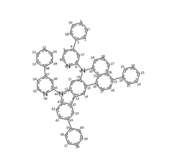 c1ccc(-c2ccnc(N3c4cc5c(cc4-c4ccc(-c6ccccc6)c6cccc3c46)c3cc(-c4ccccc4)ccc3n5-c3cc(-c4ccccc4)ccn3)c2)cc1